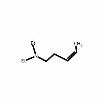 C/C=C\CCN(CC)CC